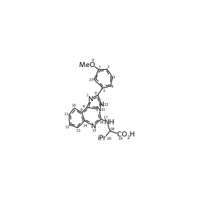 COc1cccc(-c2nc3c4ccccc4nc(NC(C(=O)O)C(C)C)n3n2)c1